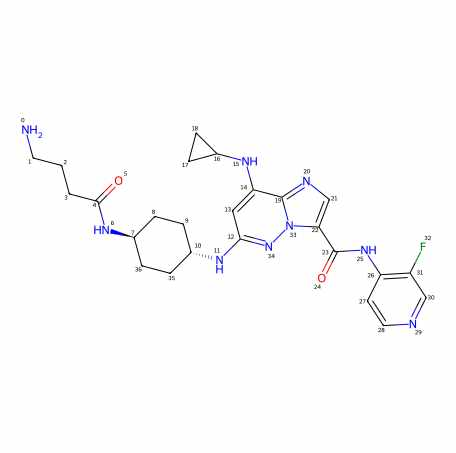 NCCCC(=O)N[C@H]1CC[C@H](Nc2cc(NC3CC3)c3ncc(C(=O)Nc4ccncc4F)n3n2)CC1